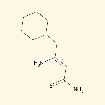 NC(=S)/C=C(\N)CC1CCCCC1